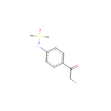 CS(C)(O)Nc1ccc(C(=O)CCl)cc1